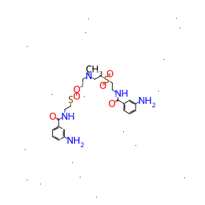 CN(CCOOSCCNC(=O)c1cccc(N)c1)CCS(=O)(=O)CCNC(=O)c1cccc(N)c1